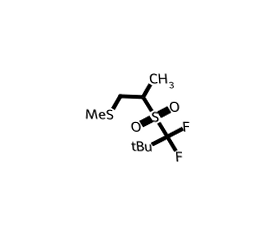 CSCC(C)S(=O)(=O)C(F)(F)C(C)(C)C